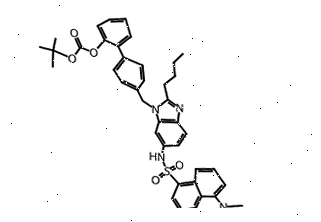 CCCCc1nc2ccc(NS(=O)(=O)c3cccc4c(N(C)C)cccc34)cc2n1Cc1ccc(-c2ccccc2OC(=O)OC(C)(C)C)cc1